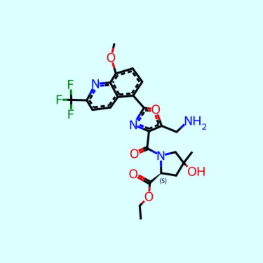 CCOC(=O)[C@@H]1CC(C)(O)CN1C(=O)c1nc(-c2ccc(OC)c3nc(C(F)(F)F)ccc23)oc1CN